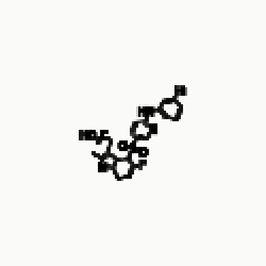 CCc1cccc(Nc2ccc(S(=O)(=O)C3=C4C(=NC(C)=C4CC(=O)O)CC=C3F)cn2)c1